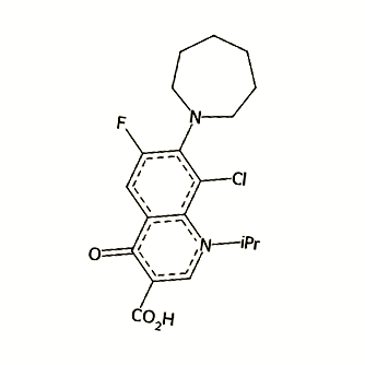 CC(C)n1cc(C(=O)O)c(=O)c2cc(F)c(N3CCCCCC3)c(Cl)c21